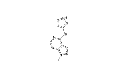 Cn1ncc2c(Nc3cc[nH]n3)nccc21